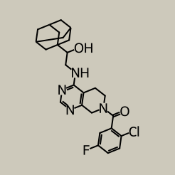 O=C(c1cc(F)ccc1Cl)N1CCc2c(ncnc2NCC(O)C23CC4CC(CC(C4)C2)C3)C1